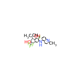 Cc1ccc2c(Nc3cc4c(c(O)c3F)C(C(C)C)CC(O)(C(F)(F)F)C4)cccc2n1